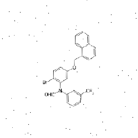 O=CN(c1cccc(C(F)(F)F)c1)c1cc(OCc2cccc3ccccc23)ccc1Br